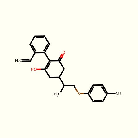 C=Cc1ccccc1C1=C(O)CC(C(C)CSc2ccc(C)cc2)CC1=O